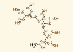 CC(S)SC(SCS)C(SCS)SCSC(SCS)C(SCS)SCSC(SCS)C(SCS)SCS